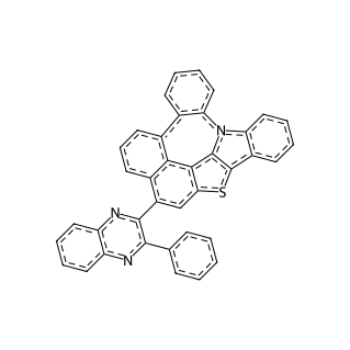 c1ccc(-c2nc3ccccc3nc2-c2cc3sc4c5ccccc5n5c6ccccc6c6cccc2c6c3c45)cc1